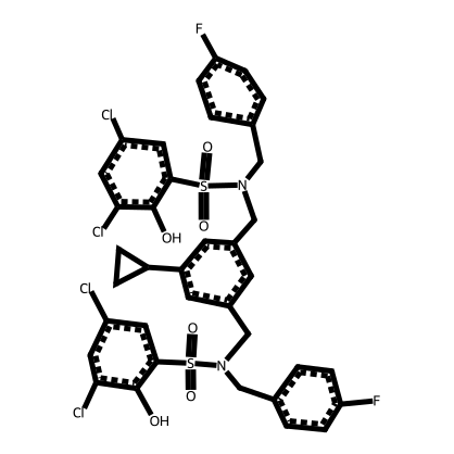 O=S(=O)(c1cc(Cl)cc(Cl)c1O)N(Cc1ccc(F)cc1)Cc1cc(CN(Cc2ccc(F)cc2)S(=O)(=O)c2cc(Cl)cc(Cl)c2O)cc(C2CC2)c1